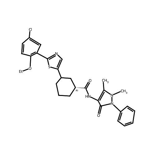 CCOc1ccc(Cl)cc1-c1ncc(C2CCC[C@@H](C(=O)Nc3c(C)n(C)n(-c4ccccc4)c3=O)C2)s1